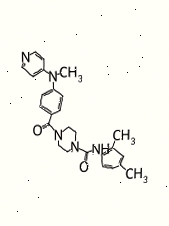 Cc1ccc(NC(=O)N2CCN(C(=O)c3ccc(N(C)c4ccncc4)cc3)CC2)c(C)c1